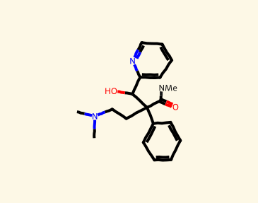 CNC(=O)C(CCN(C)C)(c1ccccc1)C(O)c1ccccn1